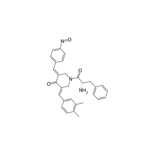 Cc1ccc(/C=C2\CN(C(=O)[C@@H](N)Cc3ccccc3)C/C(=C\c3ccc(N=O)cc3)C2=O)cc1C